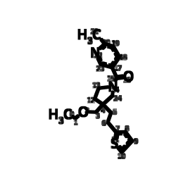 CCOCC1(CCc2cccs2)CCN(C(=O)c2ccc(C)nc2)C1